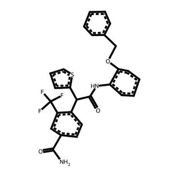 NC(=O)c1ccc(C(C(=O)Nc2ccccc2OCc2ccccc2)c2cccs2)c(C(F)(F)F)c1